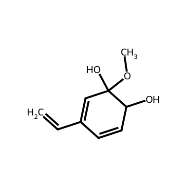 C=CC1=CC(O)(OC)C(O)C=C1